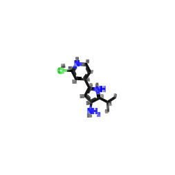 CC(C)c1[nH]c(-c2ccnc(Cl)c2)cc1N